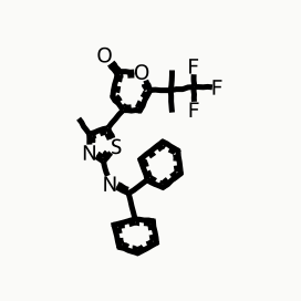 Cc1nc(N=C(c2ccccc2)c2ccccc2)sc1-c1cc(C(C)(C)C(F)(F)F)oc(=O)c1